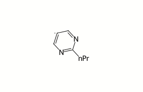 CCCc1nc[c]cn1